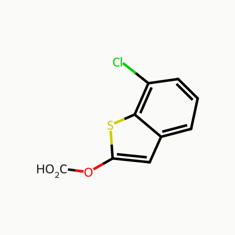 O=C(O)Oc1cc2cccc(Cl)c2s1